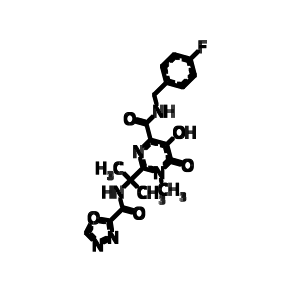 Cn1c(C(C)(C)NC(=O)c2nnco2)nc(C(=O)NCc2ccc(F)cc2)c(O)c1=O